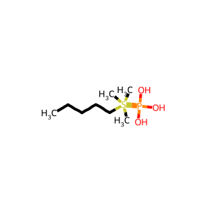 CCCCCS(C)(C)(C)=P(O)(O)O